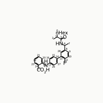 CCCCCCC(C)C(=O)NC(C)c1ccc(F)c(-c2ccc(Nc3ccccc3C(=O)O)cc2)c1